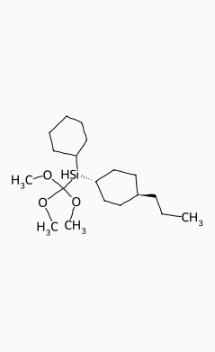 CCC[C@H]1CC[C@H]([SiH](C2CCCCC2)C(OC)(OC)OC)CC1